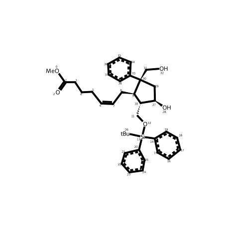 COC(=O)CCC/C=C\C[C@@H]1[C@@H](CO[Si](c2ccccc2)(c2ccccc2)C(C)(C)C)[C@H](O)C[C@@]1(CO)c1ccccc1